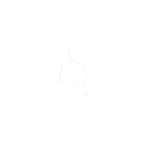 NC1CCC(Br)=CC(I)C1